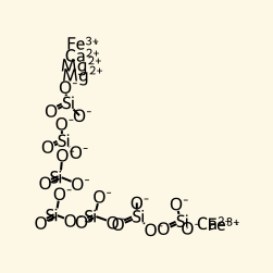 O=[Si]([O-])[O-].O=[Si]([O-])[O-].O=[Si]([O-])[O-].O=[Si]([O-])[O-].O=[Si]([O-])[O-].O=[Si]([O-])[O-].O=[Si]([O-])[O-].[Ca+2].[Ca+2].[Fe+3].[Fe+3].[Mg+2].[Mg+2]